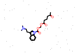 CC(=O)CCCC(=O)OCOC(=O)n1cc(CCN(C)C)c2ccccc21